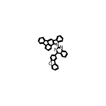 c1ccc2c(c1)-c1cccc3c1c-2cc1c2ccccc2n(-c2nc(-c4ccc5oc6ccccc6c5c4)c4ccccc4n2)c31